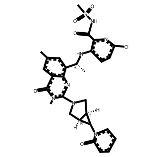 Cc1cc([C@@H](C)Nc2ccc(Cl)nc2C(=O)NS(C)(=O)=O)c2nc(N3C[C@@H]4C(n5ccccc5=O)[C@@H]4C3)n(C)c(=O)c2c1